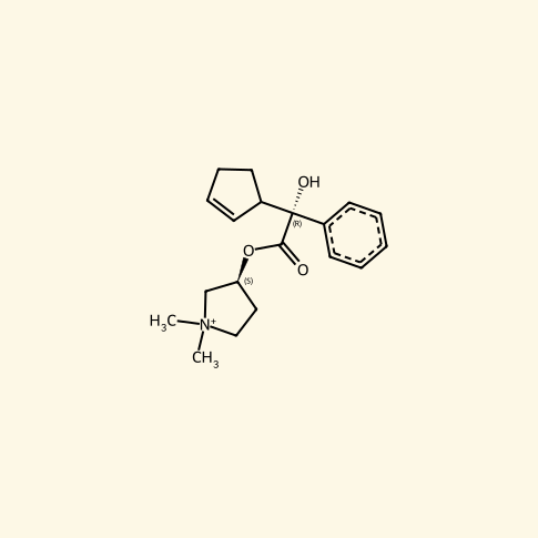 C[N+]1(C)CC[C@H](OC(=O)[C@](O)(c2ccccc2)C2C=CCC2)C1